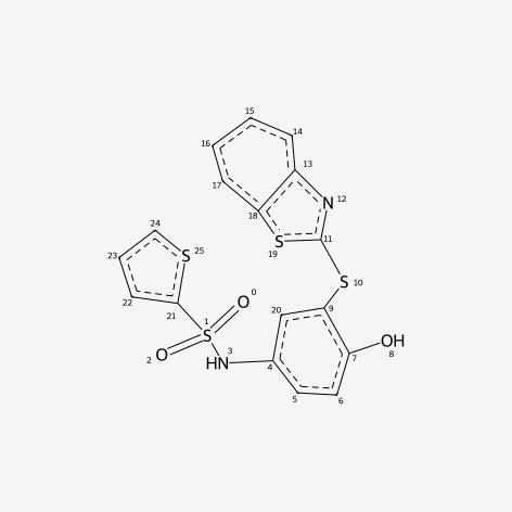 O=S(=O)(Nc1ccc(O)c(Sc2nc3ccccc3s2)c1)c1cccs1